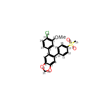 COc1cc(-c2cc3c(cc2-c2ccc(S(C)(=O)=O)cc2)OCO3)ccc1Cl